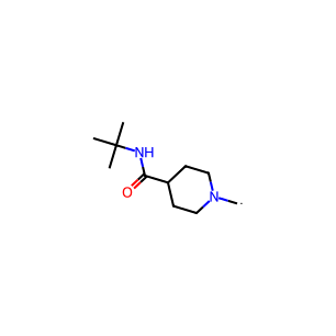 [CH2]N1CCC(C(=O)NC(C)(C)C)CC1